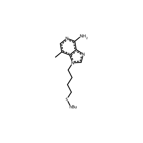 CCCCSCCCCn1cnc2c(N)ncc(C)c21